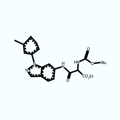 CCOC(=O)C(NC(=O)OC(C)(C)C)C(=O)Nc1ccc2cnn(-c3cccc(C)c3)c2c1